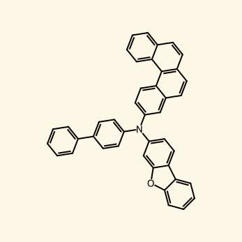 c1ccc(-c2ccc(N(c3ccc4c(ccc5ccc6ccccc6c54)c3)c3ccc4c(c3)oc3ccccc34)cc2)cc1